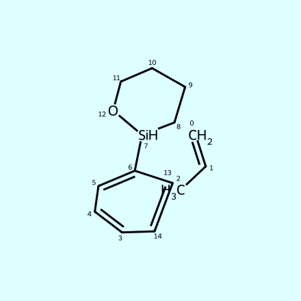 C=CC.c1ccc([SiH]2CCCCO2)cc1